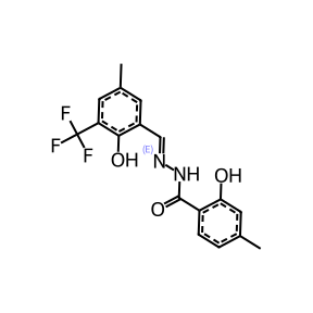 Cc1ccc(C(=O)N/N=C/c2cc(C)cc(C(F)(F)F)c2O)c(O)c1